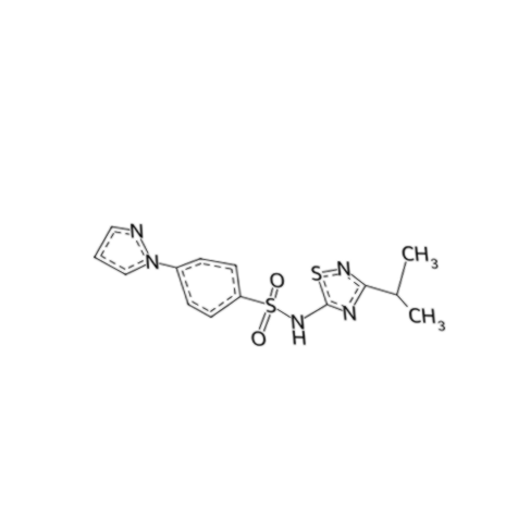 CC(C)c1nsc(NS(=O)(=O)c2ccc(-n3cccn3)cc2)n1